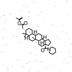 C=C(C)OC(=O)C[C@@H]1CC[C@]2(C)[C@H](CC[C@]3(C)[C@@H]2CC[C@@H]2[C@H]4CCC[C@]4(C(=O)N4CCCCC4)CC[C@]23C)C1(C)C